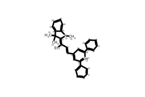 CCC(C=Cc1cc(-c2ccccc2)[se+]c(-c2ccccc2)c1)=C1N(C)c2ccccc2C1(C)C